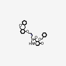 O=C1c2c(OCc3ccccc3)c(=O)ccn2NCN1C/C=C\COc1cccc2c1Cc1ccccc1OC2